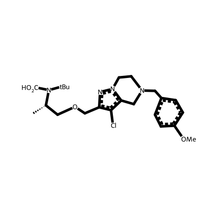 COc1ccc(CN2CCn3nc(COC[C@H](C)N(C(=O)O)C(C)(C)C)c(Cl)c3C2)cc1